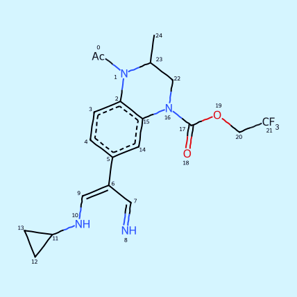 CC(=O)N1c2ccc(/C(C=N)=C/NC3CC3)cc2N(C(=O)OCC(F)(F)F)CC1C